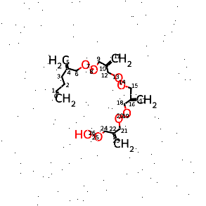 C=CCCC(=C)COOCC(=C)COOCC(=C)COOCC(=C)COO